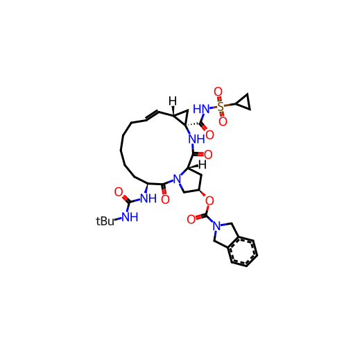 CC(C)(C)NC(=O)N[C@H]1CCCCC/C=C/[C@@H]2C[C@@]2(C(=O)NS(=O)(=O)C2CC2)NC(=O)[C@@H]2C[C@@H](OC(=O)N3Cc4ccccc4C3)CN2C1=O